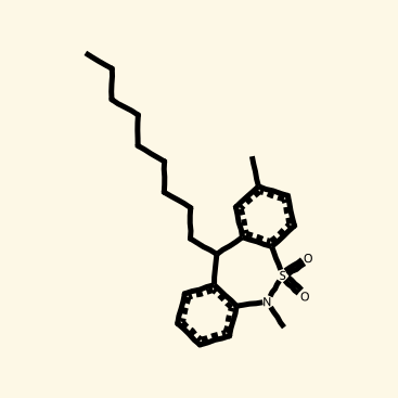 CCCCCCCCCC1c2ccccc2N(C)S(=O)(=O)c2ccc(C)cc21